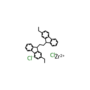 CCc1ccc2c(c1)C(CCC1c3ccccc3-c3ccc(CC)cc31)c1ccccc1-2.[Cl-].[Cl-].[Zr+2]